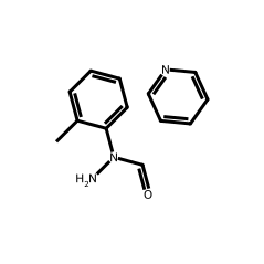 Cc1ccccc1N(N)C=O.c1ccncc1